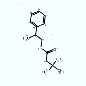 CC(COC(=O)CC(C)(C)C)c1ccccc1